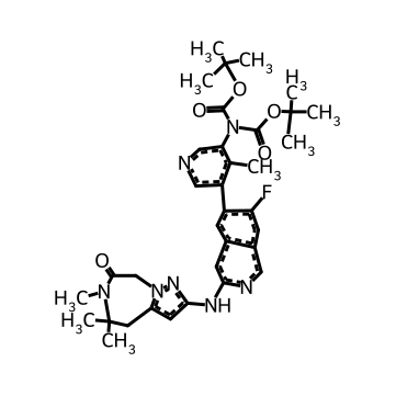 Cc1c(-c2cc3cc(Nc4cc5n(n4)CC(=O)N(C)C(C)(C)C5)ncc3cc2F)cncc1N(C(=O)OC(C)(C)C)C(=O)OC(C)(C)C